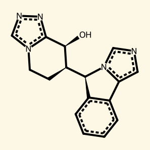 O[C@@H]1c2nncn2CC[C@@H]1[C@@H]1c2ccccc2-c2cncn21